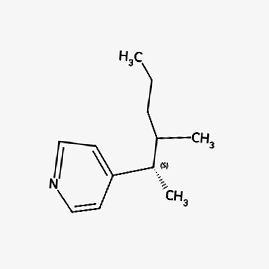 CCCC(C)[C@H](C)c1ccncc1